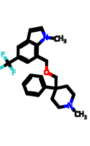 CN1CCC(COCc2cc(C(F)(F)F)cc3ccn(C)c23)(c2ccccc2)CC1